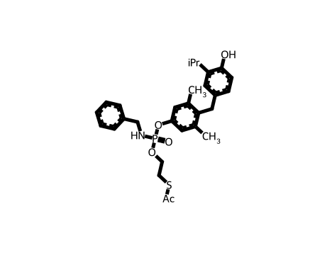 CC(=O)SCCOP(=O)(NCc1ccccc1)Oc1cc(C)c(Cc2ccc(O)c(C(C)C)c2)c(C)c1